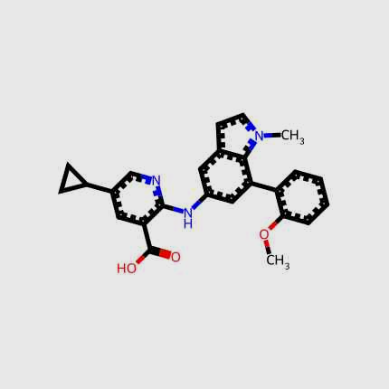 COc1ccccc1-c1cc(Nc2ncc(C3CC3)cc2C(=O)O)cc2ccn(C)c12